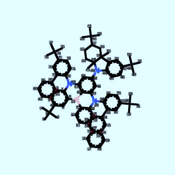 CC(C)(C)c1ccc2c(c1)B1c3ccc(-c4ccccc4)cc3N(c3ccc(C(C)(C)C)cc3-c3ccccc3)c3cc(N4c5ccc(C(C)(C)C)cc5C5(C)CC(C(C)(C)C)CCC45C)cc(c31)N2c1ccc(C(C)(C)C)cc1-c1ccccc1